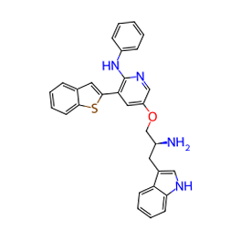 N[C@H](COc1cnc(Nc2ccccc2)c(-c2cc3ccccc3s2)c1)Cc1c[nH]c2ccccc12